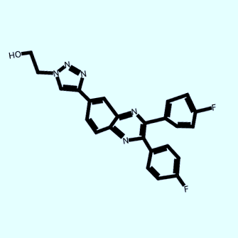 OCCn1cc(-c2ccc3nc(-c4ccc(F)cc4)c(-c4ccc(F)cc4)nc3c2)nn1